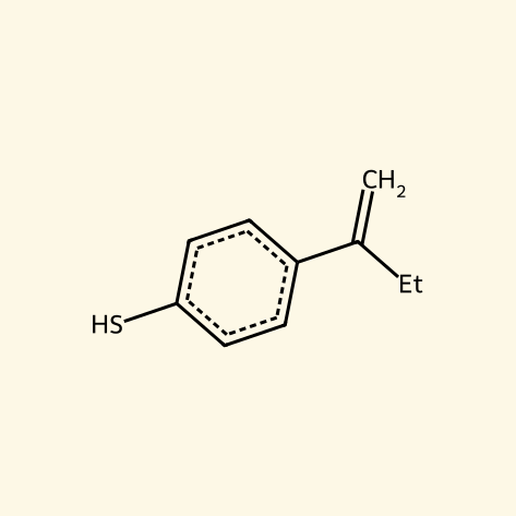 C=C(CC)c1ccc(S)cc1